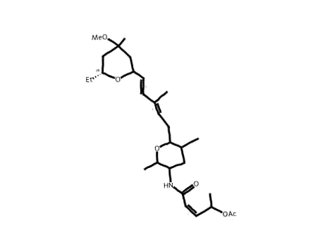 CC[C@@H]1CC(C)(OC)CC(/C=C/C(C)=C/CC2OC(C)C(NC(=O)/C=C\C(C)OC(C)=O)CC2C)O1